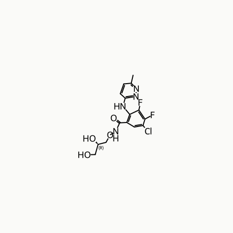 Cc1ccc(Nc2c(C(=O)NOC[C@H](O)CO)cc(Cl)c(F)c2F)nn1